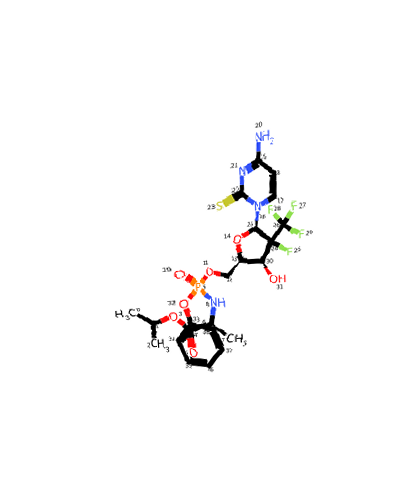 CC(C)OC(=O)[C@H](C)NP(=O)(OC[C@H]1O[C@@H](n2ccc(N)nc2=S)C(F)(C(F)(F)F)[C@H]1O)Oc1ccccc1